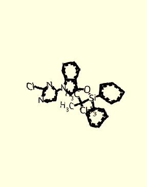 CC(C)(C)[Si](Oc1cn(-c2ccnc(Cl)n2)c2ccccc12)(c1ccccc1)c1ccccc1